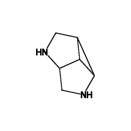 C1NC2C3CNC1C32